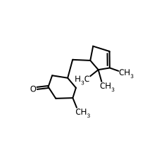 CC1=CCC(CC2CC(=O)CC(C)C2)C1(C)C